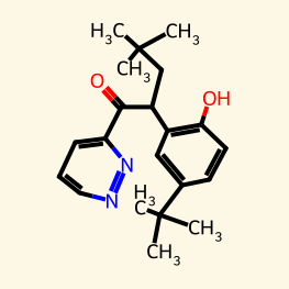 CC(C)(C)CC(C(=O)c1cccnn1)c1cc(C(C)(C)C)ccc1O